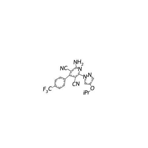 CC(C)Oc1cnn(-c2nc(N)c(C#N)c(-c3ccc(C(F)(F)F)cc3)c2C#N)c1